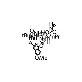 CCCC(NC(=O)[C@@H]1C[C@@H](Oc2nc(C3CC3)cc3cc(OC)ccc23)CN1C(=O)[C@@H](NC(=O)NC(C)(C)C)C(C)(C)C)C(O)C(=O)NC1CC1